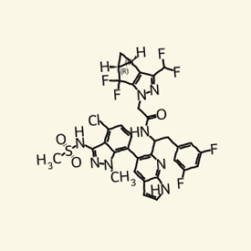 Cn1nc(NS(C)(=O)=O)c2c(Cl)ccc(-c3cc4cc[nH]c4nc3C(Cc3cc(F)cc(F)c3)NC(=O)Cn3nc(C(F)F)c4c3C(F)(F)[C@@H]3C[C@H]43)c21